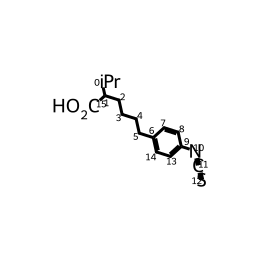 CC(C)C(CCCCc1ccc(N=C=S)cc1)C(=O)O